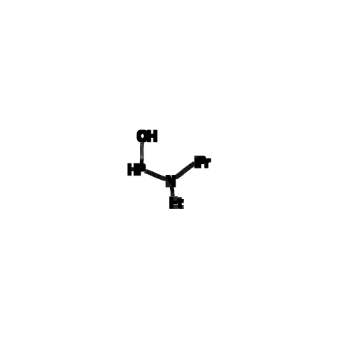 CCN(PO)C(C)C